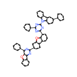 c1ccc(-c2ccc3c(c2)c2ccccc2n3-c2nc(-c3ccccc3)nc(-c3cccc4c3oc3cc(-c5nc(-c6ccccc6)c6oc7ccccc7c6n5)ccc34)n2)cc1